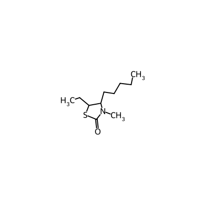 CCCCCC1C(CC)SC(=O)N1C